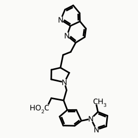 Cc1ccnn1-c1cccc(C(CC(=O)O)CN2CCC(CCc3ccc4cccnc4n3)C2)c1